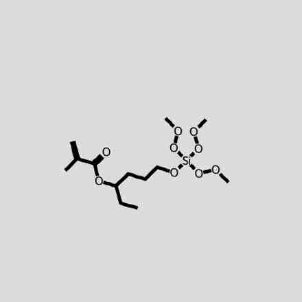 C=C(C)C(=O)OC(CC)CCCO[Si](OOC)(OOC)OOC